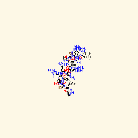 CC[C@H](C)[C@H](NC(=O)[C@H](CCCNC(=N)N)NC(=O)[C@H](CC(N)=O)NC(=O)[C@H](CCCCN)NC(=O)[C@H](CCCNC(=N)N)NC(=O)[C@H](C)NC(=O)[C@@H](NC(=O)[C@H](CS)NC(=O)[C@H](CCSC)NC(=O)[C@@H]1CCCN1)[C@@H](C)O)C(=O)N[C@@H](CCCNC(=N)N)C(=O)N[C@@H](CC(C)C)C(=O)N[C@@H](CS)C(=O)N[C@@H](CCCNC(=N)N)C(=O)N[C@@H](CCCNC(=N)N)C(=O)N[C@@H](CC(=O)O)C(=O)O